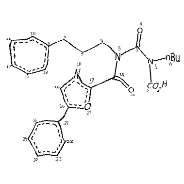 CCCCN(C(=O)O)C(=O)N(CCCc1ccccc1)C(=O)c1ncc(-c2ccccc2)o1